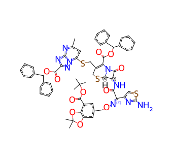 Cc1cc(SCC2=C(C(=O)OC(c3ccccc3)c3ccccc3)N3C(=O)[C@@H](NC(=O)/C(=N\OCc4cc5c(c(C(=O)OC(C)(C)C)c4)OC(C)(C)O5)c4csc(N)n4)[C@H]3SC2)n2nc(C(=O)OC(c3ccccc3)c3ccccc3)nc2n1